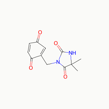 CC1(C)NC(=O)N(CC2=CC(=O)C=CC2=O)C1=O